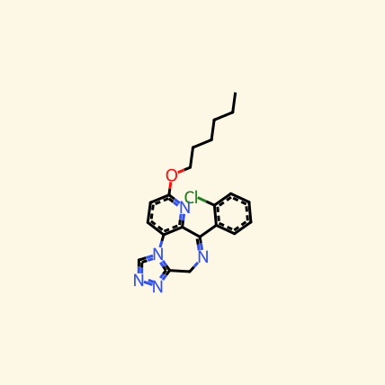 CCCCCCOc1ccc2c(n1)C(c1ccccc1Cl)=NCc1nncn1-2